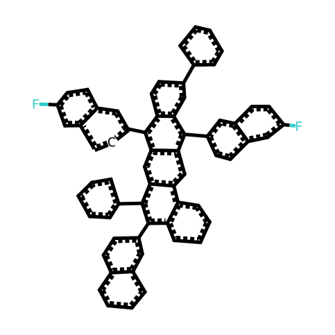 Fc1ccc2cc(-c3c4ccc(-c5ccccc5)cc4c(-c4ccc5cc(F)ccc5c4)c4cc5c(cc34)c(-c3ccccc3)c(-c3ccc4ccccc4c3)c3ccccc35)ccc2c1